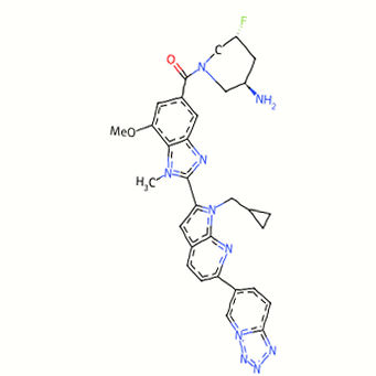 COc1cc(C(=O)N2C[C@H](N)C[C@@H](F)C2)cc2nc(-c3cc4ccc(-c5ccc6nnnn6c5)nc4n3CC3CC3)n(C)c12